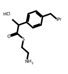 CC(C)Cc1ccc(C(C)C(=O)SCCN)cc1.Cl